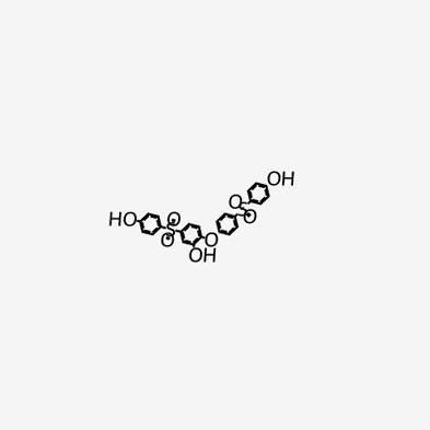 O=S(=O)(c1ccc(O)cc1)c1ccc(Oc2ccc(S(=O)(=O)c3ccc(O)cc3)cc2O)cc1